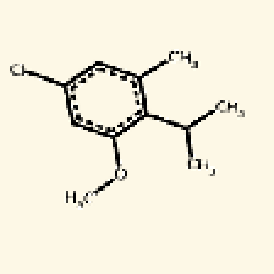 COc1cc(Cl)cc(C)c1C(C)C